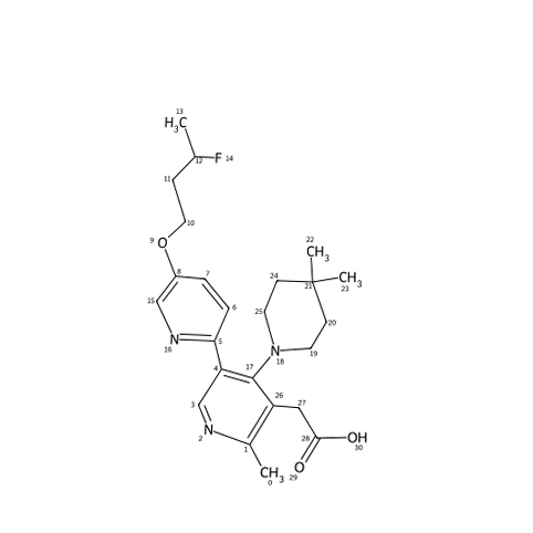 Cc1ncc(-c2ccc(OCCC(C)F)cn2)c(N2CCC(C)(C)CC2)c1CC(=O)O